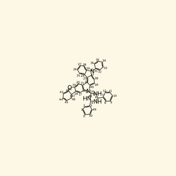 c1ccc(C2NC(c3ccccc3)NC(n3c4cc5c(cc4c4c6c7ccccc7n(-c7ccccc7)c6ccc43)oc3ccccc35)N2)cc1